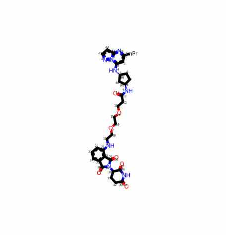 CCCc1cc(N[C@@H]2CC[C@@H](NC(=O)CCOCCOCCNc3cccc4c3C(=O)N(C3CCC(=O)NC3=O)C4=O)C2)n2nccc2n1